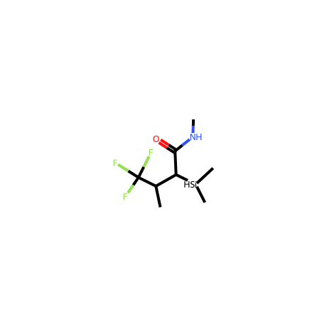 CNC(=O)C(C(C)C(F)(F)F)[SiH](C)C